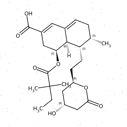 CCC(C)(C)C(=O)O[C@H]1CC(C(=O)O)=CC2=CC[C@H](C)[C@H](CC[C@@H]3C[C@@H](O)CC(=O)O3)[C@H]21